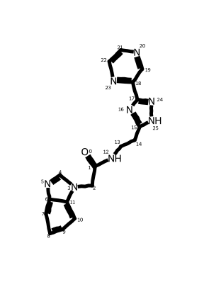 O=C(Cn1cnc2ccccc21)NCCc1nc(-c2cnccn2)n[nH]1